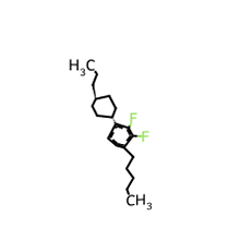 CCCCCc1ccc([C@H]2CC[C@H](CCC)CC2)c(F)c1F